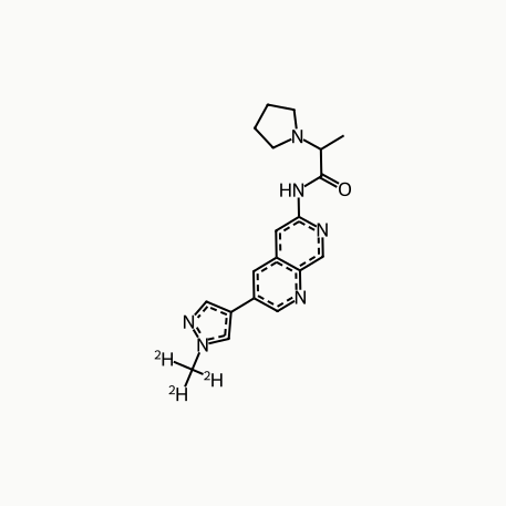 [2H]C([2H])([2H])n1cc(-c2cnc3cnc(NC(=O)C(C)N4CCCC4)cc3c2)cn1